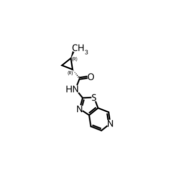 C[C@@H]1C[C@H]1C(=O)Nc1nc2ccncc2s1